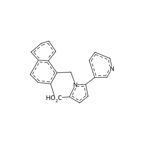 Cc1ccc2ccccc2c1Cn1c(C(=O)O)ccc1-c1cccnc1